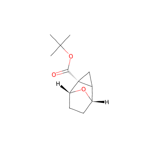 CC(C)(C)OC(=O)[C@]12CC1[C@@H]1CC[C@H]2O1